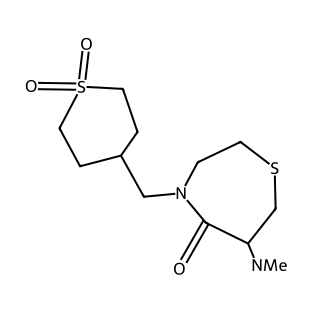 CNC1CSCCN(CC2CCS(=O)(=O)CC2)C1=O